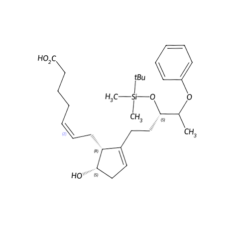 CC(Oc1ccccc1)[C@H](CCC1=CC[C@H](O)[C@@H]1C/C=C\CCCC(=O)O)O[Si](C)(C)C(C)(C)C